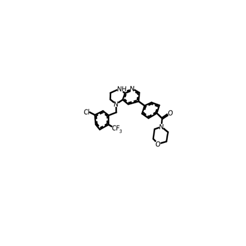 O=C(c1ccc(-c2cnc3c(c2)N(Cc2cc(Cl)ccc2C(F)(F)F)CCN3)cc1)N1CCOCC1